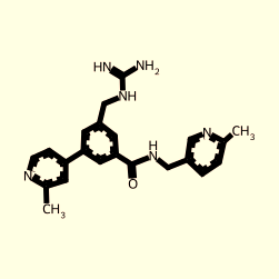 Cc1ccc(CNC(=O)c2cc(CNC(=N)N)cc(-c3ccnc(C)c3)c2)cn1